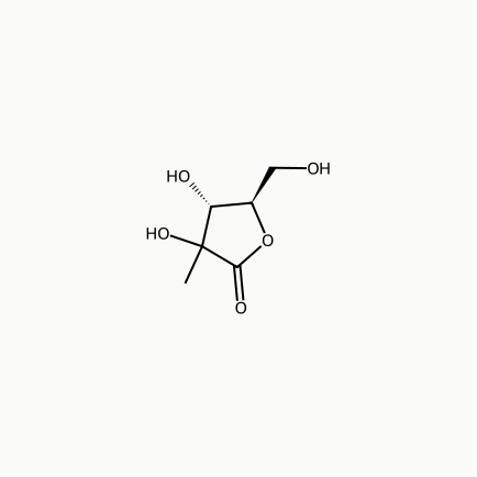 CC1(O)C(=O)O[C@H](CO)[C@H]1O